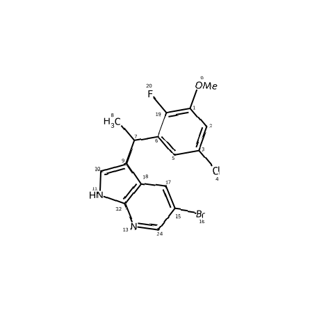 COc1cc(Cl)cc(C(C)c2c[nH]c3ncc(Br)cc23)c1F